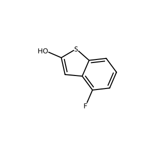 Oc1cc2c(F)cccc2s1